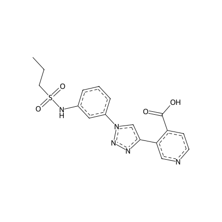 CCCS(=O)(=O)Nc1cccc(-n2cc(-c3cnccc3C(=O)O)nn2)c1